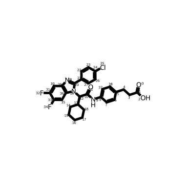 O=C(O)CCc1ccc(NC(=O)C(C2CCCCC2)n2c(-c3ccc(Cl)cc3)nc3cc(F)c(F)cc32)cc1